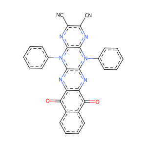 N#Cc1nc2c(nc1C#N)n(-c1ccccc1)c1nc3c(=O)c4ccccc4c(=O)c3nc1n2-c1ccccc1